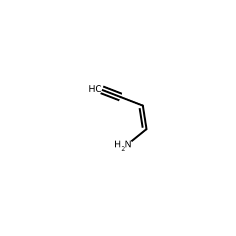 C#C/C=C\N